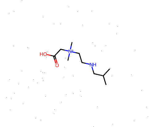 CC(C)CNCC[N+](C)(C)CC(=O)O